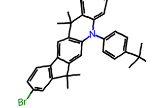 CC(C)(C)c1ccc(N2c3ccccc3C(C)(C)c3cc4c(cc32)C(C)(C)c2cc(Br)ccc2-4)cc1